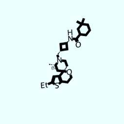 CCc1cc2c(s1)CCO[C@@]21CCN(C[C@H]2C[C@@H](NC(=O)C3CCCC(C)(C)C3)C2)[C@@H](C)C1